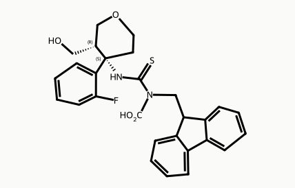 O=C(O)N(CC1c2ccccc2-c2ccccc21)C(=S)N[C@@]1(c2ccccc2F)CCOC[C@H]1CO